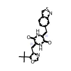 CC(C)(C)c1ocnc1/C=c1\[nH]c(=O)/c(=C/c2ccc3csnc3c2)[nH]c1=O